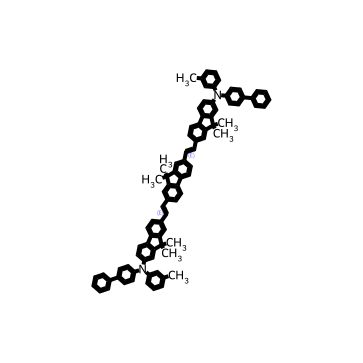 Cc1cccc(N(c2ccc(-c3ccccc3)cc2)c2ccc3c(c2)C(C)(C)c2cc(/C=C/c4ccc5c(c4)C(C)(C)c4cc(/C=C/c6ccc7c(c6)C(C)(C)c6cc(N(c8ccc(-c9ccccc9)cc8)c8cccc(C)c8)ccc6-7)ccc4-5)ccc2-3)c1